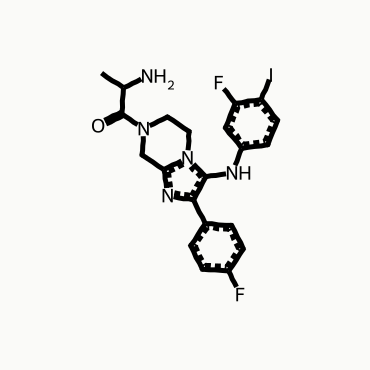 CC(N)C(=O)N1CCn2c(nc(-c3ccc(F)cc3)c2Nc2ccc(I)c(F)c2)C1